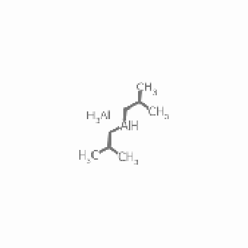 CC(C)[CH2][AlH][CH2]C(C)C.[AlH3]